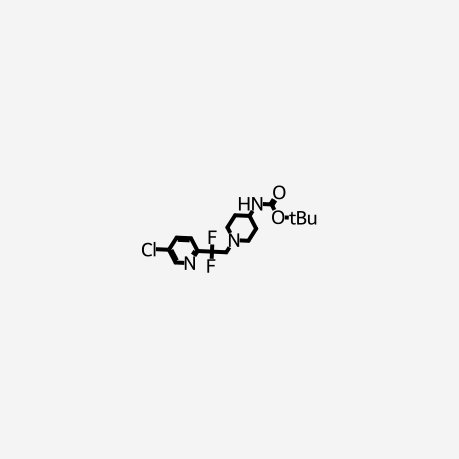 CC(C)(C)OC(=O)NC1CCN(CC(F)(F)c2ccc(Cl)cn2)CC1